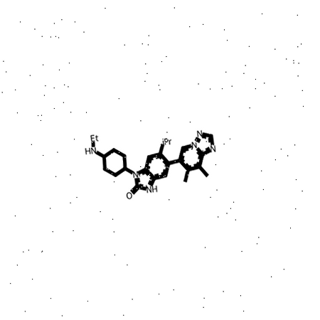 CCNC1CCC(n2c(=O)[nH]c3cc(-c4cn5ncnc5c(C)c4C)c(C(C)C)cc32)CC1